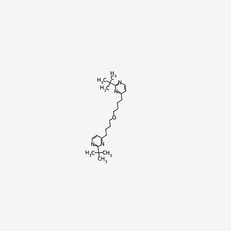 CC(C)(C)c1nccc(CCCCOCCCCc2ccnc(C(C)(C)C)n2)n1